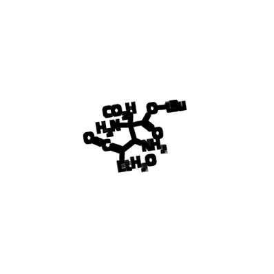 CCC(=C=O)C(N)C(N)(C(=O)O)C(=O)OC(C)(C)C.O